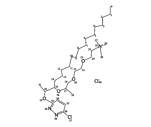 CCCCCCCCCCCCCCCC(OC(C)COCCOCC[N+](C)(C)C)C(C)Oc1ccc(Cl)nn1.[Cl-]